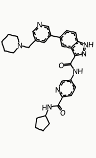 O=C(NC1CCCC1)c1ccc(NC(=O)c2n[nH]c3ccc(-c4cncc(CN5CCCCC5)c4)cc23)cn1